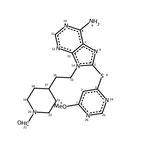 COc1cc(Sc2nc3c(N)ncnc3n2CCC2CCN(C=O)CC2)ncn1